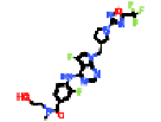 CN(CCO)C(=O)c1ccc(Nc2ncnc3c2c(F)cn3C[C@H]2CCN(c3noc(C(F)(F)F)n3)C2)c(F)c1